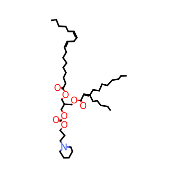 CCCCC/C=C\C/C=C\CCCCCCCC(=O)OCC(COC(=O)/C=C(\CCCCC)CCCCCCCC)COC(=O)OCCCN1CCCCC1